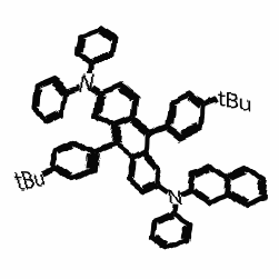 CC(C)(C)c1ccc(-c2c3ccc(N(c4ccccc4)c4ccc5ccccc5c4)cc3c(-c3ccc(C(C)(C)C)cc3)c3ccc(N(c4ccccc4)c4ccccc4)cc23)cc1